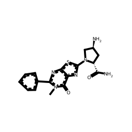 Cn1c(-c2ccccc2)nc2sc(N3C[C@@H](N)C[C@@H]3C(N)=O)nc2c1=O